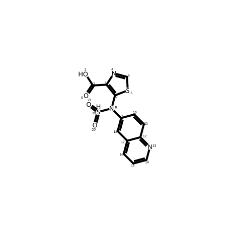 O=C(O)c1ncsc1N(c1ccc2ncccc2c1)[SH](=O)=O